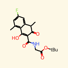 Cc1cc(F)cc2c1C(O)=C(C(=O)NCC(=O)OC(C)(C)C)C(=O)C2C